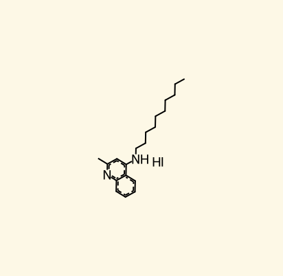 CCCCCCCCCCNc1cc(C)nc2ccccc12.I